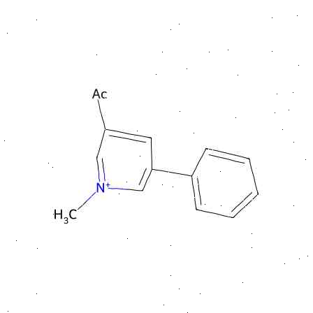 CC(=O)c1cc(-c2ccccc2)c[n+](C)c1